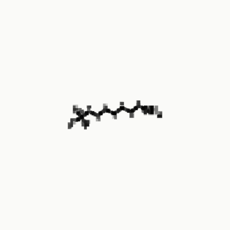 NCCCCCCCC(F)(F)F